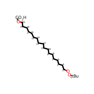 CC(C)(C)OOCCCCCCCCCCCCCCCCCCOC(=O)O